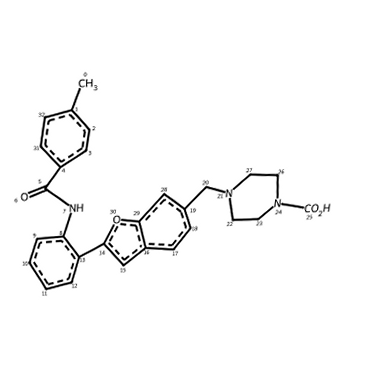 Cc1ccc(C(=O)Nc2ccccc2-c2cc3ccc(CN4CCN(C(=O)O)CC4)cc3o2)cc1